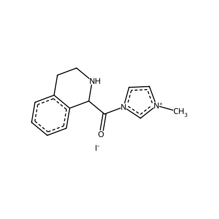 C[n+]1ccn(C(=O)C2NCCc3ccccc32)c1.[I-]